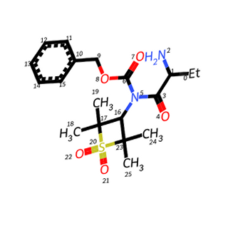 CCC(N)C(=O)N(C(=O)OCc1ccccc1)C1C(C)(C)S(=O)(=O)C1(C)C